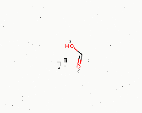 O=CO.[Ti].[Ti]